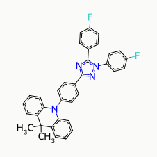 CC1(C)c2ccccc2N(c2ccc(-c3nc(-c4ccc(F)cc4)n(-c4ccc(F)cc4)n3)cc2)c2ccccc21